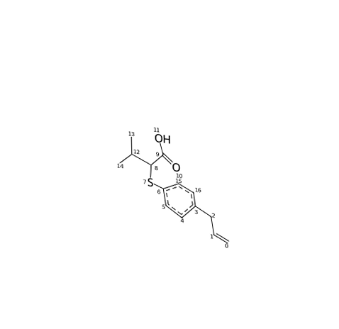 C=CCc1ccc(SC(C(=O)O)C(C)C)cc1